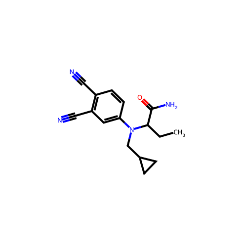 CCC(C(N)=O)N(CC1CC1)c1ccc(C#N)c(C#N)c1